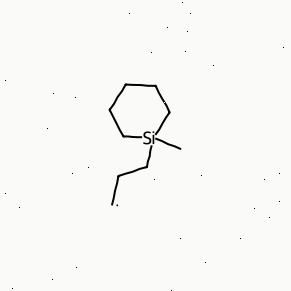 [CH2]CC[Si]1(C)CCCCC1